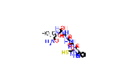 C[C@@H](O)[C@H](NC(=O)CNC(=O)CNC(=O)CNC(=O)[C@H](Cc1c[nH]c2ccccc12)NC(=O)[C@@H](N)CS)C(=O)N[C@@H](CCC(N)=O)C(=O)O